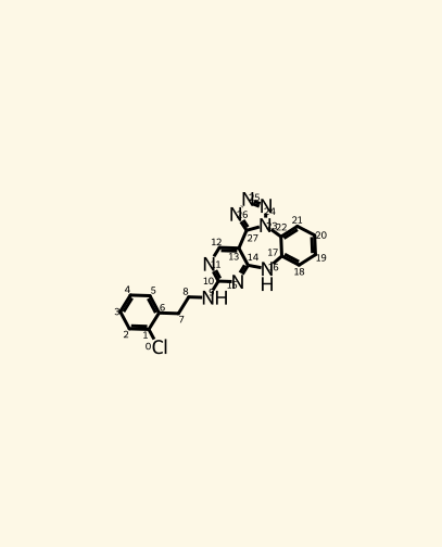 Clc1ccccc1CCNc1ncc2c(n1)Nc1ccccc1-n1nnnc1-2